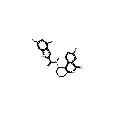 Cc1cc(F)cc2[nH]c(C(=O)N(C)[C@H]3COCc4[nH]c(=O)c5cc(F)ccc5c43)cc12